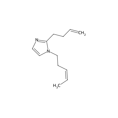 C=CCCc1nccn1CC/C=C\C